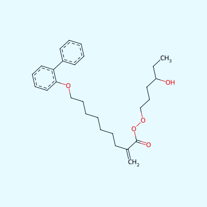 C=C(CCCCCCCOc1ccccc1-c1ccccc1)C(=O)OOCCCC(O)CC